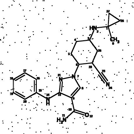 CC1(NC2CCC(n3cc(C(N)=O)c(Nc4ccccc4)n3)C(C#N)C2)CC1